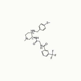 CSc1ccc(CN[C@@H]2CCN(C)C[C@@H]2NC(=O)CNC(=O)c2cccc(C(F)(F)F)c2)cc1